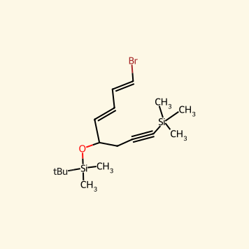 CC(C)(C)[Si](C)(C)OC(C=CC=CBr)CC#C[Si](C)(C)C